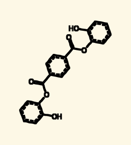 O=C(Oc1ccccc1O)c1ccc(C(=O)Oc2ccccc2O)cc1